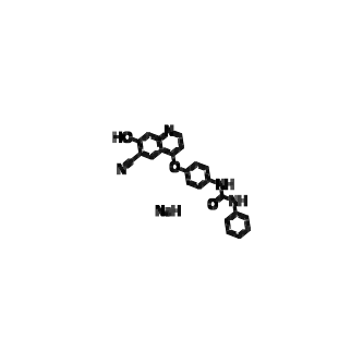 N#Cc1cc2c(Oc3ccc(NC(=O)Nc4ccccc4)cc3)ccnc2cc1O.[NaH]